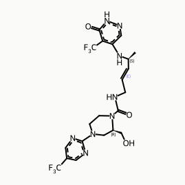 C[C@@H](/C=C/CNC(=O)N1CCN(c2ncc(C(F)(F)F)cn2)C[C@@H]1CO)Nc1cn[nH]c(=O)c1C(F)(F)F